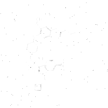 CCOC(=O)Cc1ccc(OC2CCN(CC(O)(c3cn(CC4CCC4)c4cc([N+](=O)[O-])ccc34)C(F)(F)F)CC2)c(OC)c1